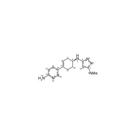 CNc1nnc(N[C@@H]2CC=C(c3ccc(N)nn3)CC2)s1